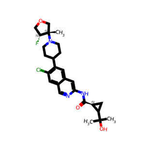 CC(C)(O)C1C[C@@H]1C(=O)Nc1cc2cc(C3CCN([C@@]4(C)COC[C@H]4F)CC3)c(Cl)cc2cn1